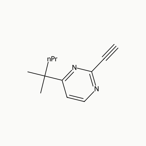 C#Cc1nccc(C(C)(C)CCC)n1